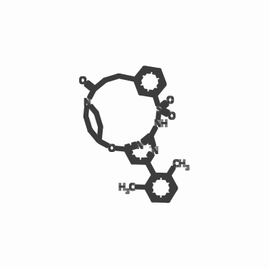 Cc1cccc(C)c1-c1cc2nc(n1)NS(=O)(=O)c1cccc(c1)CCC(=O)N1CCC(CC1)O2